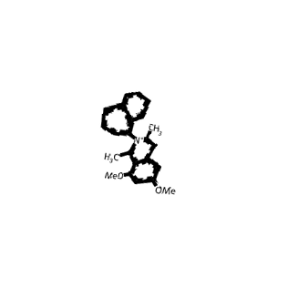 COc1cc(OC)c2c(C)[n+](-c3cccc4ccccc34)c(C)cc2c1